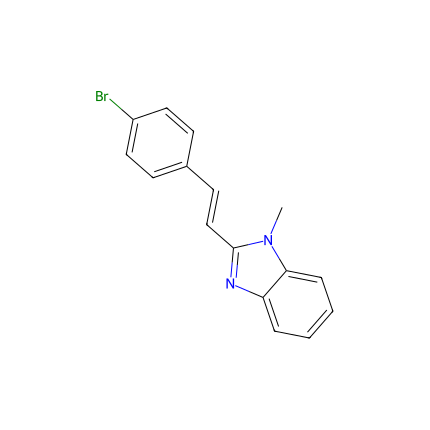 Cn1c(C=Cc2ccc(Br)cc2)nc2ccccc21